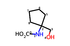 O=C(O)NC1(CO)CCCC1